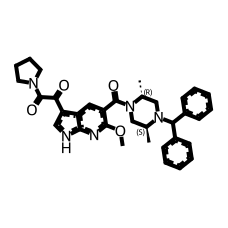 COc1nc2[nH]cc(C(=O)C(=O)N3CCCC3)c2cc1C(=O)N1C[C@H](C)N(C(c2ccccc2)c2ccccc2)C[C@H]1C